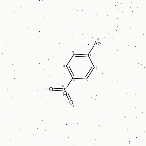 CC(=O)c1ccc([SH](=O)=O)cc1